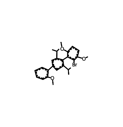 COc1ccccc1-c1cc(C(C)C)c(-c2c(OC)ccc(OC)c2Br)c(C(C)C)c1